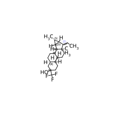 C/C=C1/[C@H]2[C@@H](C)[C@H]2[C@H]2[C@@H]3CC[C@@H]4C[C@@](O)(C(F)(F)F)CC[C@@H]4[C@H]3CC[C@]12C